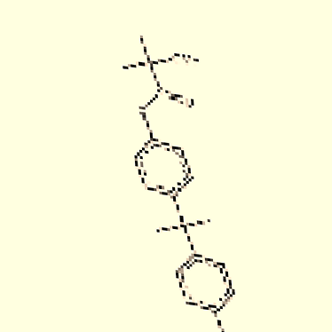 COC(C)(C)S(=O)Oc1ccc(C(C)(C)c2ccc(O)cc2)cc1